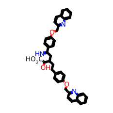 N=C(CC(CCc1ccc(OCc2ccc3ccccc3n2)cc1)C(O)C(=O)O)c1ccc(OCc2ccc3ccccc3n2)cc1